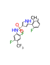 Cc1cccc(F)c1-c1cc(S(=O)(=O)Nc2cc(F)c(C(F)(F)F)cc2F)c[nH]1